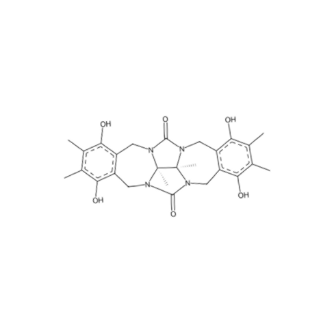 Cc1c(C)c(O)c2c(c1O)CN1C(=O)N3Cc4c(O)c(C)c(C)c(O)c4CN4C(=O)N(C2)[C@]1(C)[C@]43C